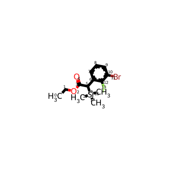 CCOC(=O)C(c1cccc(Br)c1F)[Si](C)(C)C